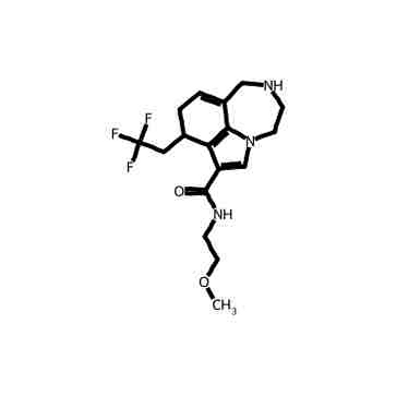 COCCNC(=O)c1cn2c3c1C(CC(F)(F)F)CC=C3CNCC2